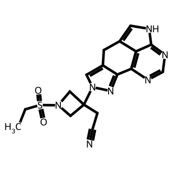 CCS(=O)(=O)N1CC(CC#N)(n2cc3c(n2)-c2ncnc4[nH]cc(c24)C3)C1